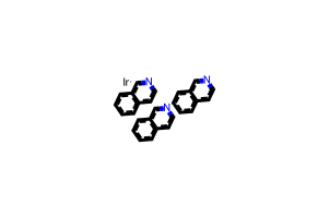 [Ir].c1ccc2cnccc2c1.c1ccc2cnccc2c1.c1ccc2cnccc2c1